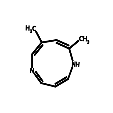 Cc1cnccc[nH]c(C)c1